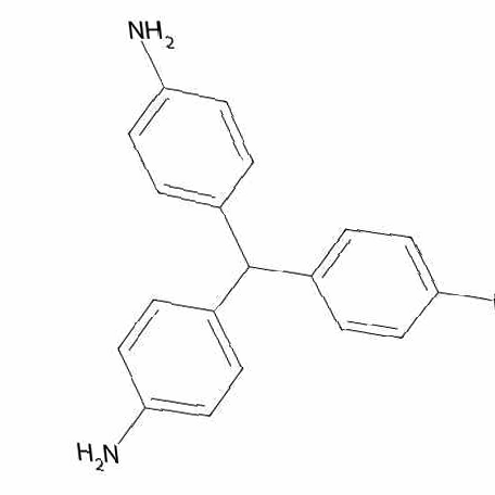 Nc1ccc(C(c2ccc(N)cc2)c2ccc(F)cc2)cc1